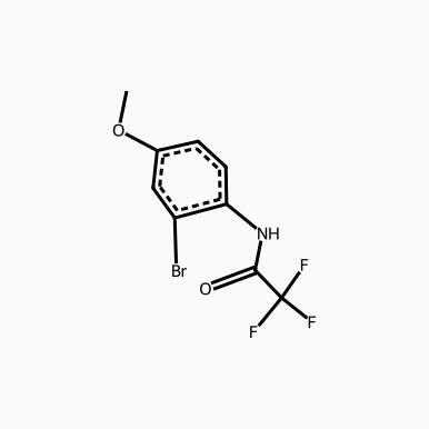 COc1ccc(NC(=O)C(F)(F)F)c(Br)c1